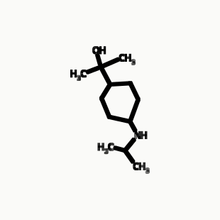 CC(C)NC1CCC(C(C)(C)O)CC1